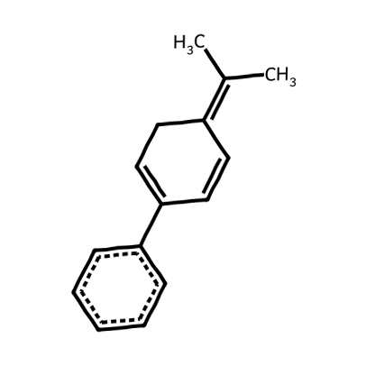 CC(C)=C1C=CC(c2ccccc2)=CC1